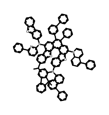 CC(C)c1ccc2c(c1)oc1c2c(N(c2ccc3c(c2)oc2ccccc23)c2cccc(-c3ccccc3)n2)cc2c(-c3cccc(-c4ccccc4)c3)c(-c3ccccc3)c3cc(N4C=CC=C5C(c6ccccc6)=CC=CC54)c4oc5cc(N(c6cccc7c6C(C)(C)c6ccccc6-7)c6cccc7c(-c8ccccc8)cccc67)ccc5c4c3c21